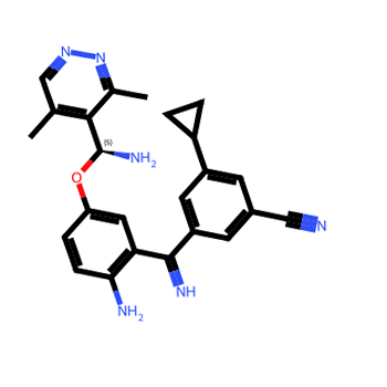 Cc1cnnc(C)c1[C@@H](N)Oc1ccc(N)c(C(=N)c2cc(C#N)cc(C3CC3)c2)c1